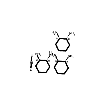 N[C@@H]1CCCC[C@H]1N.N[C@@H]1CCCC[C@H]1N.N[C@@H]1CCCC[C@H]1N.[Cl][Ni][Cl]